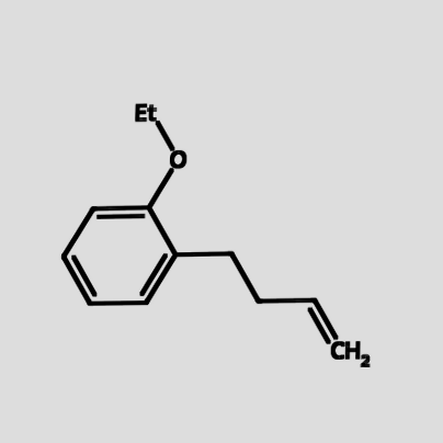 C=CCCc1ccccc1OCC